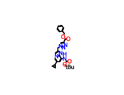 CC(C)(C)OC(=O)Nc1cc(C2CC2)cn2cc(Cn3cc(C(=O)OCc4ccccc4)nn3)nc12